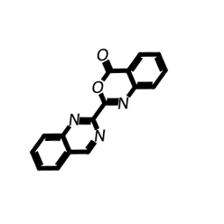 O=c1oc(-c2ncc3ccccc3n2)nc2ccccc12